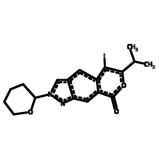 CC(C)c1oc(=O)c2cc3nn(C4CCCCO4)cc3cc2c1I